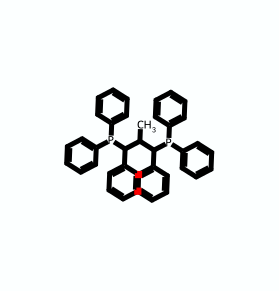 CC(C(c1ccccc1)P(c1ccccc1)c1ccccc1)C(c1ccccc1)P(c1ccccc1)c1ccccc1